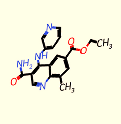 CCOC(=O)c1cc(C)c2ncc(C(N)=O)c(Nc3cccnc3)c2c1